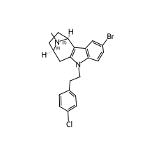 CN1[C@@H]2CC[C@H]1c1c(n(CCc3ccc(Cl)cc3)c3ccc(Br)cc13)C2